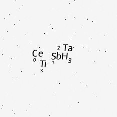 [Ce].[SbH3].[Ta].[Ti]